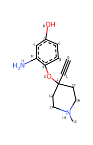 C#CC1(Oc2ccc(O)cc2N)CCN(C)CC1